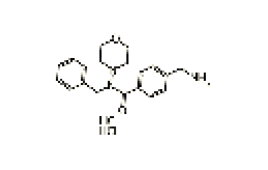 Cl.Cl.NCc1ccc(C(=O)N(Cc2ccccc2)N2CCOCC2)cc1